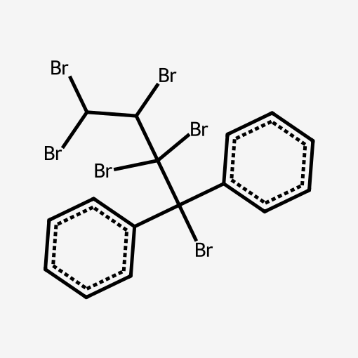 BrC(Br)C(Br)C(Br)(Br)C(Br)(c1ccccc1)c1ccccc1